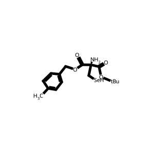 Cc1ccc(COC(=O)[C@@](N)(C[SeH])C(=O)OC(C)(C)C)cc1